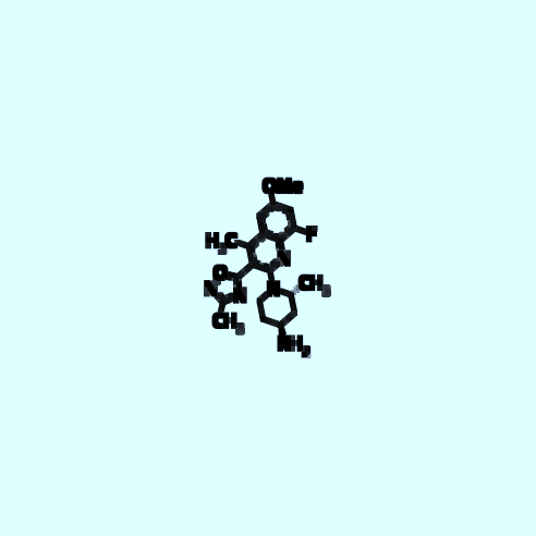 COc1cc(F)c2nc(N3CC[C@H](N)C[C@H]3C)c(-c3nc(C)no3)c(C)c2c1